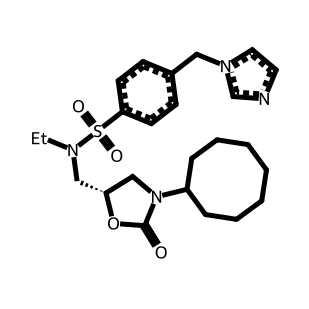 CCN(C[C@@H]1CN(C2CCCCCCC2)C(=O)O1)S(=O)(=O)c1ccc(Cn2ccnc2)cc1